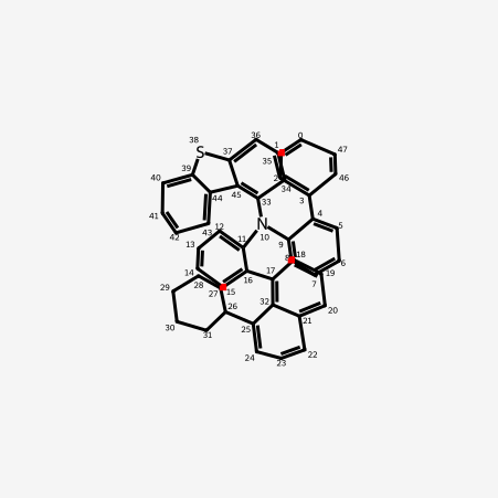 c1ccc(-c2ccccc2N(c2ccccc2-c2cccc3cccc(C4CCCCC4)c23)c2cccc3sc4ccccc4c23)cc1